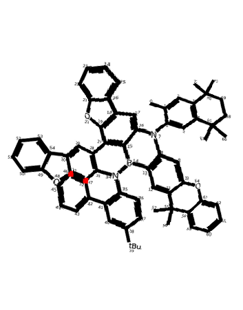 Cc1cc2c(cc1N1c3cc4c(cc3B3c5c1cc1c(oc6ccccc61)c5-c1cc5c(cc1N3c1ccc(C(C)(C)C)cc1-c1ccccc1)oc1ccccc15)C(C)(C)c1ccccc1O4)C(C)(C)CCC2(C)C